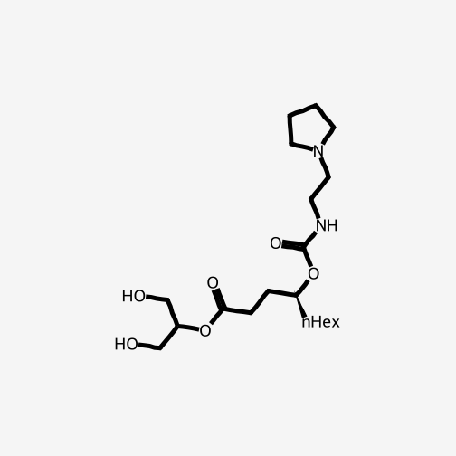 CCCCCC[C@@H](CCC(=O)OC(CO)CO)OC(=O)NCCN1CCCC1